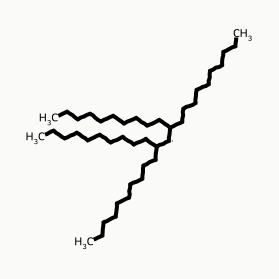 CCCCCCCCCCC([CH]C(CCCCCCCCCC)CCCCCCCCCC)CCCCCCCCCC